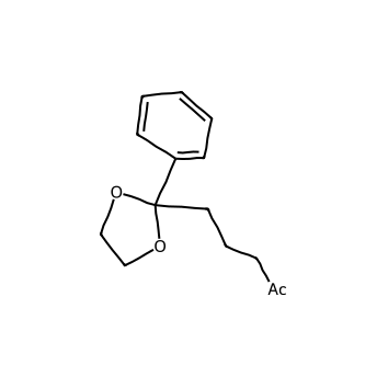 CC(=O)CCCC1(c2ccccc2)OCCO1